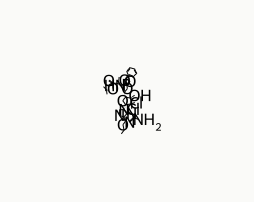 CCOc1nc(N)nc2c1ncn2[C@@H]1O[C@H](COP(=O)(N[C@H](C)C(=O)OC(C)C)Oc2ccccc2)[C@@H](O)C1(Cl)Cl